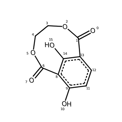 O=C1OCCOC(=O)c2c(O)ccc1c2O